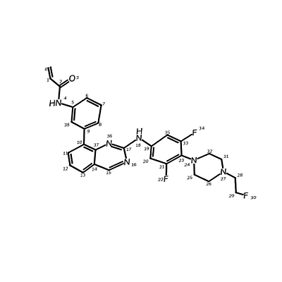 C=CC(=O)Nc1cccc(-c2cccc3cnc(Nc4cc(F)c(N5CCN(CCF)CC5)c(F)c4)nc23)c1